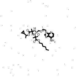 CCCCCCOC(=O)C(C)(C)NP(=O)(CO[C@H](C)Cn1cnc2c(N)ccnc21)NC(C)(C)C(=O)OC(C)C1CC1